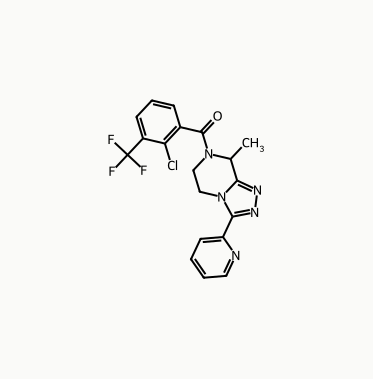 CC1c2nnc(-c3ccccn3)n2CCN1C(=O)c1cccc(C(F)(F)F)c1Cl